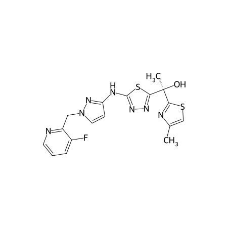 Cc1csc([C@](C)(O)c2nnc(Nc3ccn(Cc4ncccc4F)n3)s2)n1